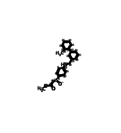 COC(=O)C[S+]([O-])c1ccc(NCc2cccc(-c3ccccc3C)c2)cc1